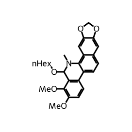 CCCCCCOC1c2c(ccc(OC)c2OC)-c2ccc3cc4c(cc3c2N1C)OCO4